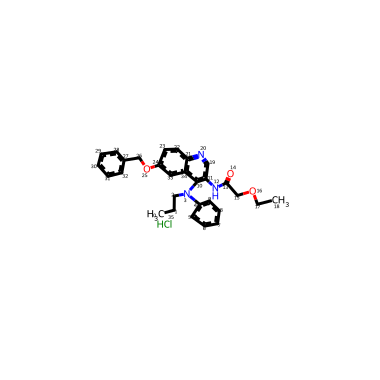 CCCN(c1ccccc1)c1c(NC(=O)COCC)cnc2ccc(OCc3ccccc3)cc12.Cl